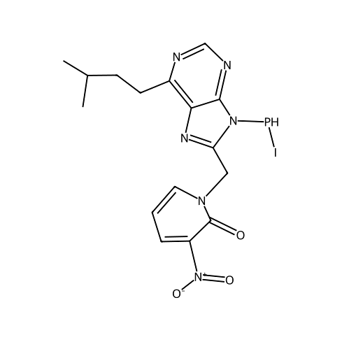 CC(C)CCc1ncnc2c1nc(Cn1cccc([N+](=O)[O-])c1=O)n2PI